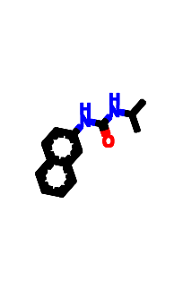 CC(C)NC(=O)Nc1ccc2ccccc2c1